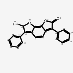 O=C1Oc2c3c(ccc2=C1c1ccccc1)=C(c1ccccc1)C(O)O3